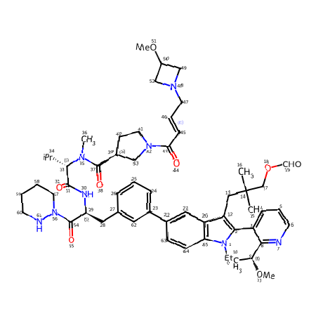 CCn1c(-c2cccnc2[C@H](C)OC)c(CC(C)(C)COC=O)c2cc(-c3cccc(C[C@H](NC(=O)[C@H](C(C)C)N(C)C(=O)[C@H]4CCN(C(=O)/C=C/CN5CC(OC)C5)C4)C(=O)N4CCCCN4)c3)ccc21